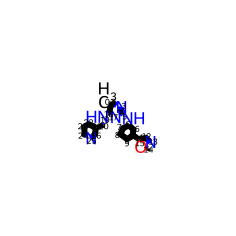 Cc1cnc(Nc2cccc(-c3cnco3)c2)nc1NCc1cccnc1